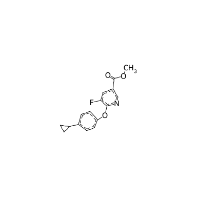 COC(=O)c1cnc(Oc2ccc(C3CC3)cc2)c(F)c1